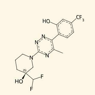 Cc1nc(N2CCC[C@@](O)(C(F)F)C2)nnc1-c1ccc(C(F)(F)F)cc1O